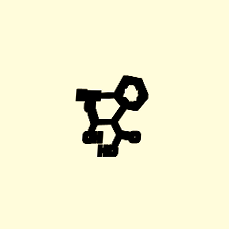 N#Cc1ccccc1C(C(=O)O)C(=O)O